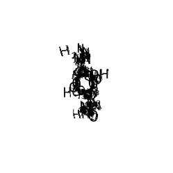 Nc1ncnc2c1ncn2[C@H]1C[C@@H]2OP(=O)(O)OC[C@H]3O[C@@H](n4cnc5c(=O)[nH]cnc54)C[C@@H]3OP(=O)(O)OC[C@H]2O1